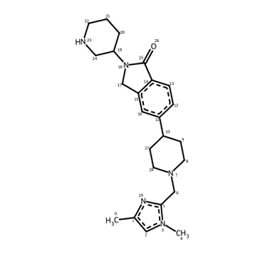 Cc1cn(C)c(CN2CCC(c3ccc4c(c3)CN(C3CCCNC3)C4=O)CC2)n1